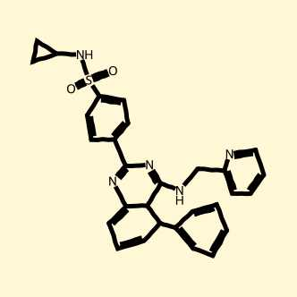 O=S(=O)(NC1CC1)c1ccc(C2=NC3=CC=CC(c4ccccc4)C3C(NCc3ccccn3)=N2)cc1